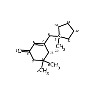 CC1(C)CC(=O)C=C(CS2(C)CCCC2)C1